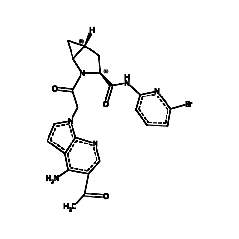 CC(=O)c1cnc2c(ccn2CC(=O)N2C3C[C@@H]3C[C@H]2C(=O)Nc2cccc(Br)n2)c1N